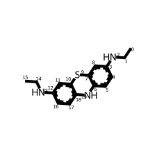 CCNc1ccc2c(c1)Sc1cc(NCC)ccc1N2